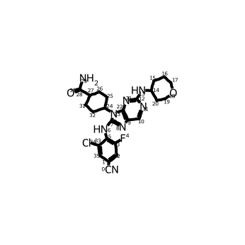 N#Cc1cc(F)c(Nc2nc3cnc(NC4CCCOCC4)nc3n2C2CCC(C(N)=O)CC2)c(Cl)c1